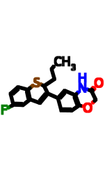 CCCC1Sc2ccc(F)cc2C=C1c1ccc2c(c1)NC(=O)CO2